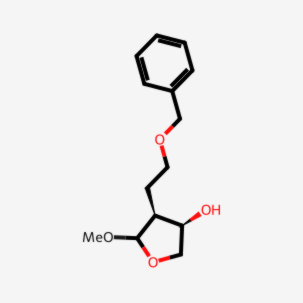 COC1OC[C@H](O)[C@@H]1CCOCc1ccccc1